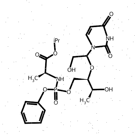 CC(C)OC(=O)[C@H](C)NP(=O)(OC[C@@H](OC(CO)n1ccc(=O)[nH]c1=O)[C@H](C)O)Oc1ccccc1